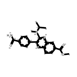 COC(=O)c1ccc2nc(-c3ccc(C(N)=O)cc3)c(N(C)C(C)C)nc2c1